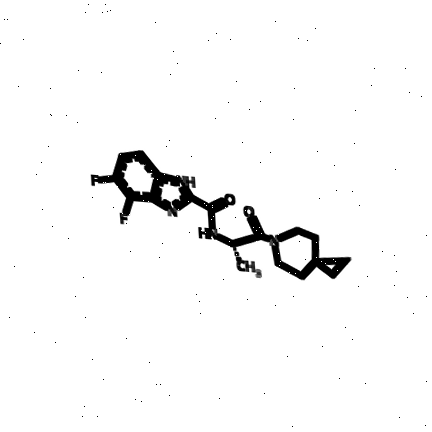 C[C@H](NC(=O)c1nc2c(F)c(F)ccc2[nH]1)C(=O)N1CCC2(CC1)CC2